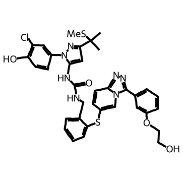 CSC(C)(C)c1cc(NC(=O)NCc2ccccc2Sc2ccc3nnc(-c4cccc(OCCO)c4)n3c2)n(-c2ccc(O)c(Cl)c2)n1